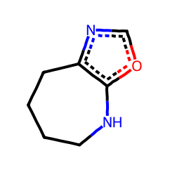 c1nc2c(o1)NCCCC2